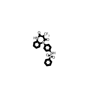 O=C1Nc2ccccc2N(c2ccc(NS(=O)(=O)c3ccccc3)cc2)C(=O)C1C(F)(F)F